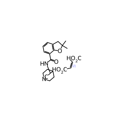 CC1(C)Cc2cccc(C(=O)NC3CN4CCC3CC4)c2O1.O=C(O)/C=C\C(=O)O